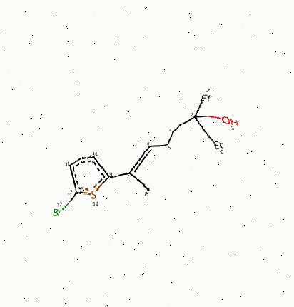 CCC(O)(CC)CCC=C(C)c1ccc(Br)s1